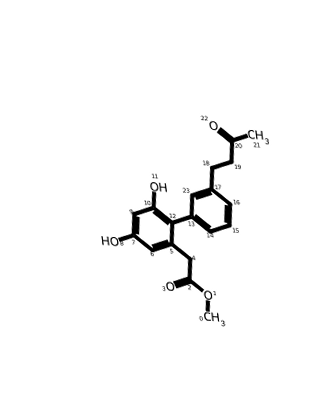 COC(=O)Cc1cc(O)cc(O)c1-c1cccc(CCC(C)=O)c1